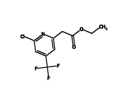 CCOC(=O)Cc1cc(C(F)(F)F)cc(Cl)n1